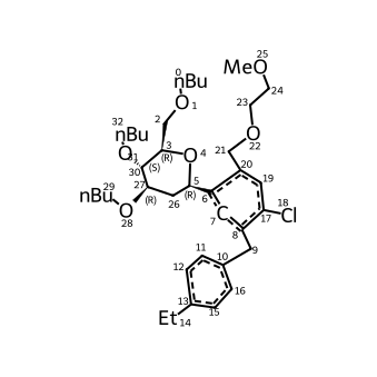 CCCCOC[C@H]1O[C@@H](c2cc(Cc3ccc(CC)cc3)c(Cl)cc2COCCOC)C[C@@H](OCCCC)[C@@H]1OCCCC